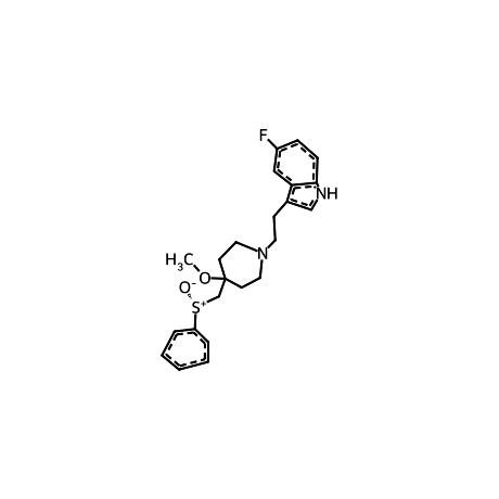 COC1(C[S@@+]([O-])c2ccccc2)CCN(CCc2c[nH]c3ccc(F)cc23)CC1